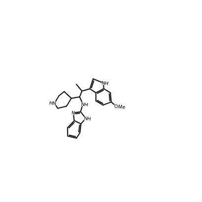 COc1ccc2c(C(C)C(Nc3nc4ccccc4[nH]3)C3CCNCC3)c[nH]c2c1